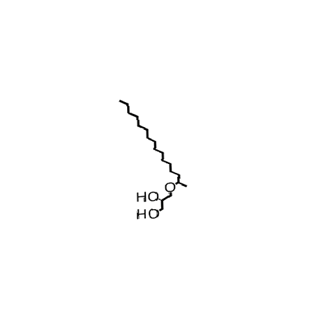 CCCCCCCCCCCCCCC(C)OC[C@@H](O)CO